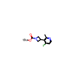 Cc1nccc(F)c1C1CN(C(=O)OC(C)(C)C)C1